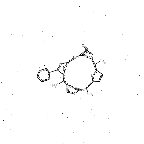 Cc1c2nc(c(C)c3nnc(nc4nc(c(C)c5ccc1[nH]5)C(c1ccccc1)=N4)n3C=O)C=C2